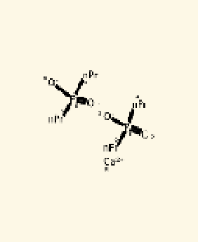 CCCP(=O)([O-])CCC.CCCP(=O)([O-])CCC.[Ca+2]